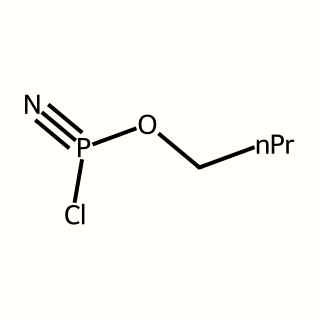 CCCCOP(#N)Cl